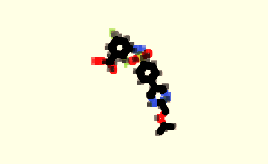 CC(C)OCc1ncc(-c2ccc(S(=O)(=O)Nc3cc(F)cc(C(=O)O)c3F)cc2)cn1